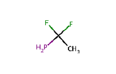 CC(F)(F)P